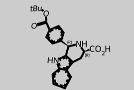 CC(C)(C)OC(=O)c1ccc([C@H]2N[C@@H](C(=O)O)Cc3c2[nH]c2ccccc32)cc1